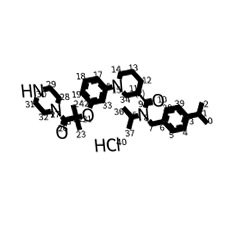 CC(C)c1ccc(CN(C(=O)[C@@H]2CCCN(c3cccc(OC(C)(C)C(=O)N4CCNCC4)c3)C2)C(C)C)cc1.Cl